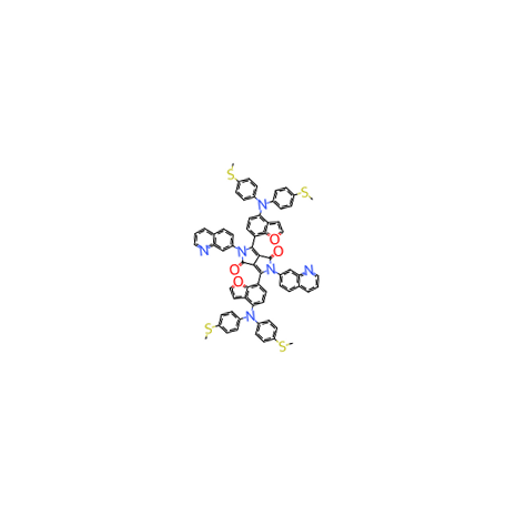 CSc1ccc(N(c2ccc(SC)cc2)c2ccc(C3=C4C(=O)N(c5ccc6cccnc6c5)C(c5ccc(N(c6ccc(SC)cc6)c6ccc(SC)cc6)c6ccoc56)=C4C(=O)N3c3ccc4cccnc4c3)c3occc23)cc1